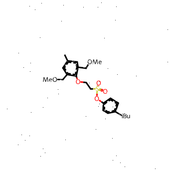 CCC(C)c1ccc(OS(=O)(=O)CCOc2c(COC)cc(C)cc2COC)cc1